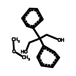 COC.OCC(CO)(c1ccccc1)c1ccccc1